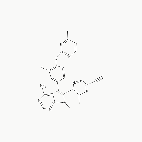 C#Cc1cnc(-c2c(-c3ccc(Oc4nccc(C)n4)c(F)c3)c3c(N)ncnc3n2C)c(C)n1